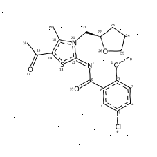 COc1ccc(Cl)cc1C(=O)N=c1sc(C(C)=O)c(C)n1C[C@H]1CCCO1